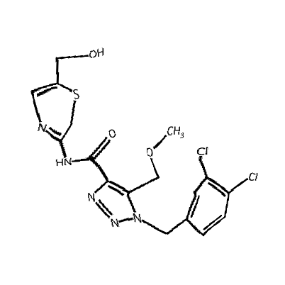 COCc1c(C(=O)Nc2ncc(CO)s2)nnn1Cc1ccc(Cl)c(Cl)c1